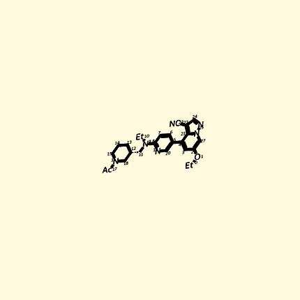 CCOc1cc(-c2ccc(N(CC)C[C@H]3CCCN(C(C)=O)C3)nc2)c2c(C#N)cnn2c1